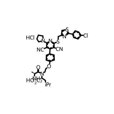 CC(C)C[C@@H](C(=O)O)N(CCOc1ccc(-c2c(C#N)c(SCc3csc(-c4ccc(Cl)cc4)n3)nc(N3CCCC3)c2C#N)cc1)C(=O)[C@H](C)N.Cl